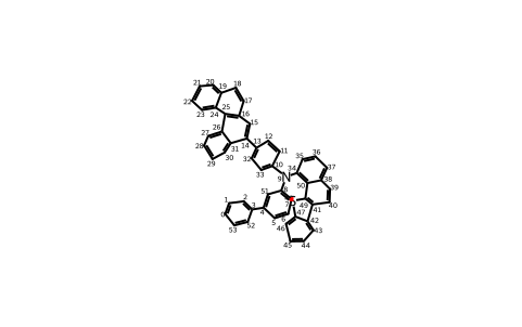 c1ccc(-c2cccc(N(c3ccc(-c4cc5ccc6ccccc6c5c5ccccc45)cc3)c3cccc4ccc5c6ccccc6sc5c34)c2)cc1